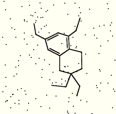 CCc1cc(CC)c2c(c1)CC(CC)(CC)CC2